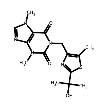 Cc1sc(C(C)(C)O)nc1Cn1c(=O)c2c(ncn2C)n(C)c1=O